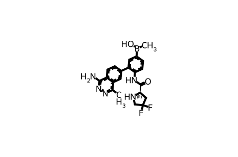 CB(O)c1ccc(NC(=O)[C@H]2CC(F)(F)CN2)c(-c2ccc3c(N)nnc(C)c3c2)c1